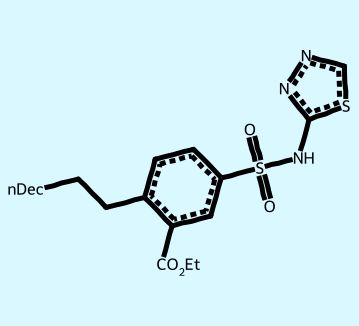 CCCCCCCCCCCCc1ccc(S(=O)(=O)Nc2nncs2)cc1C(=O)OCC